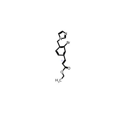 CCOC(=O)/C=C/c1ccc(Cn2ccnc2)c(Br)c1